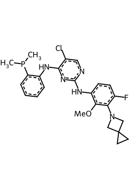 COc1c(Nc2ncc(Cl)c(Nc3ccccc3P(C)C)n2)ccc(F)c1N1CC2(CC2)C1